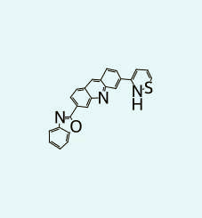 C1=CSNC(c2ccc3cc4ccc(-c5nc6ccccc6o5)cc4nc3c2)=C1